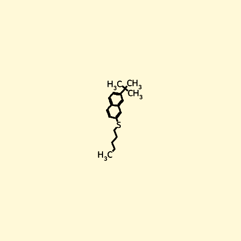 CCCCCSc1ccc2ccc(C(C)(C)C)cc2c1